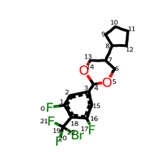 Fc1cc(C2OCC(C3CCCC3)CO2)cc(F)c1C(F)(F)Br